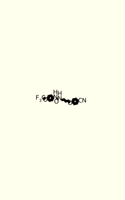 N#Cc1ccc(OCCCCNC(=O)Nc2ccc(OC(F)(F)F)cc2)cc1